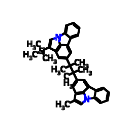 Cc1cn2c3ccccc3c3cc(C(C)(C)C(C)(C)c4cc5c([Si](C)(C)C)cn6c7ccccc7c(c4)c56)cc1c32